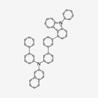 c1ccc(-c2cccc(N(c3cccc(-c4cccc(-c5cccc6c5c5ccccc5n6-c5ccccc5)c4)c3)c3ccc4ccccc4c3)c2)cc1